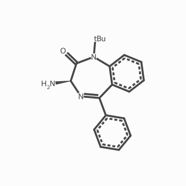 CC(C)(C)N1C(=O)[C@H](N)N=C(c2ccccc2)c2ccccc21